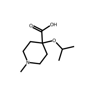 CC(C)OC1(C(=O)O)CCN(C)CC1